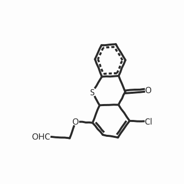 O=CCOC1=CC=C(Cl)C2C(=O)c3ccccc3SC12